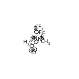 C=C/N=N\N(Cc1ccc(OC(F)(F)F)cc1)c1cc(-c2cccc(S(=O)(=O)CC)c2)ccc1-n1cc(C(F)F)nc1C